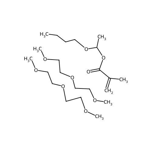 C=C(C)C(=O)OC(C)OCCCC.COCCOCCOC.COCCOCCOC